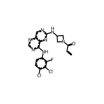 C=CC(=O)N1CC(Nc2ncc3ncnc(Nc4ccc(Cl)c(Cl)c4F)c3n2)C1